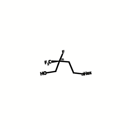 CCCCCCCC[C@@](F)(CO)C(F)(F)F